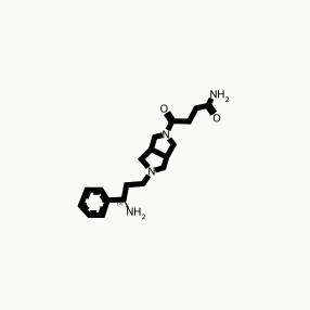 NC(=O)CCC(=O)N1CC2CN(CC[C@H](N)c3ccccc3)CC2C1